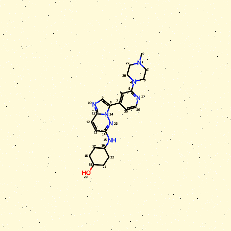 CN1CCN(c2cc(-c3cnc4ccc(NC5CCC(O)CC5)nn34)ccn2)CC1